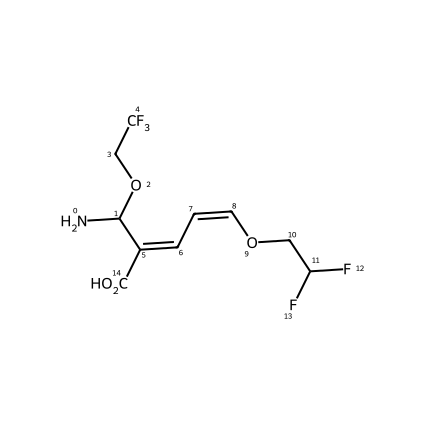 NC(OCC(F)(F)F)/C(=C\C=C/OCC(F)F)C(=O)O